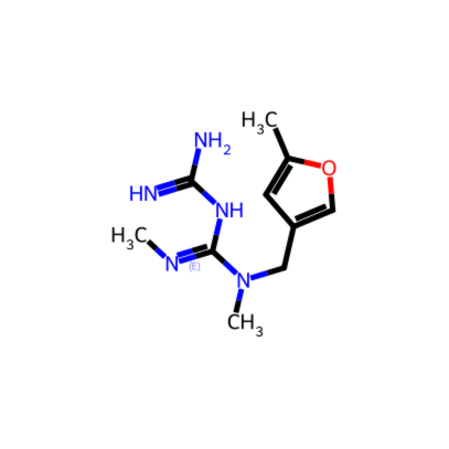 C/N=C(\NC(=N)N)N(C)Cc1coc(C)c1